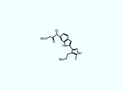 CCN(C(=O)COC)c1ccc2cc(-c3n[nH]c(C)c3CCC(C)(C)C)[nH]c2c1